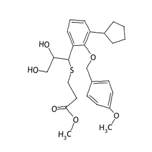 COC(=O)CCSC(c1cccc(C2CCCC2)c1OCc1ccc(OC)cc1)C(O)CO